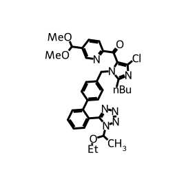 CCCCc1nc(Cl)c(C(=O)c2ccc(C(OC)OC)cn2)n1Cc1ccc(-c2ccccc2-c2nnnn2C(C)OCC)cc1